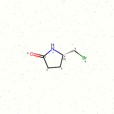 O=C1CC[C@@H](CBr)N1